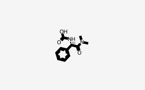 CN(C)C(=O)[C@@H](NC(=O)O)c1ccccc1